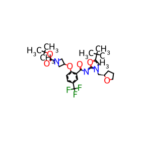 CC(C)(C)OC(=O)N1CC(Oc2ccc(C(F)(F)F)cc2C(=O)N=c2oc(C(C)(C)C)cn2C[C@H]2CCCO2)C1